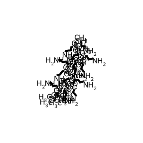 C[SiH](CCCN)O[Si](C)(CCCN)O[Si](C)(CCCN)O[Si](C)(CCCN)O[Si](C)(CCCN)O[Si](C)(CCCN)O[Si](C)(CCCN)O[Si](C)(CCCN)O[Si](C)(CCCN)O[Si](C)(CCCN)O[Si](C)(CCCN)O[Si](C)(CCCN)O[Si](C)(CCCN)O[Si](C)(O[Si](C)(C)C)O[Si](C)(C)O